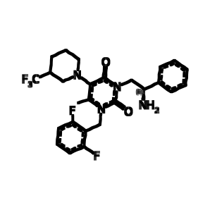 Cc1c(N2CCCC(C(F)(F)F)C2)c(=O)n(C[C@H](N)c2ccccc2)c(=O)n1Cc1c(F)cccc1F